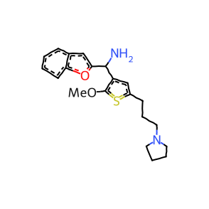 COc1sc(CCCN2CCCC2)cc1C(N)c1cc2ccccc2o1